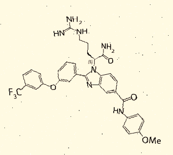 COc1ccc(NC(=O)c2ccc3c(c2)nc(-c2cccc(Oc4cccc(C(F)(F)F)c4)c2)n3[C@@H](CCCNC(=N)N)C(N)=O)cc1